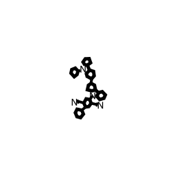 N#Cc1cc(-n2c3ccccc3c3cc(-c4ccc5c6ccccc6n(-c6ccccc6)c5c4)ccc32)c(C#N)cc1-c1ccccc1